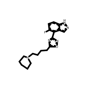 Fc1ccc2[nH]ncc2c1-c1noc(CCCCN2CCCCC2)n1